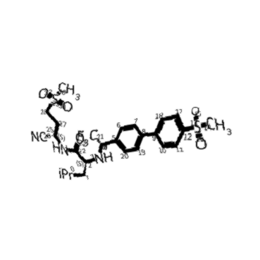 CC(C)C[C@H](N[C@@H](c1ccc(-c2ccc(S(C)(=O)=O)cc2)cc1)C(F)(F)F)C(=O)N[C@H](C#N)CCS(C)(=O)=O